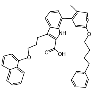 Cc1cnc(OCCCCc2ccccc2)cc1-c1cccc2c(CCCOc3cccc4ccccc34)c(C(=O)O)[nH]c12